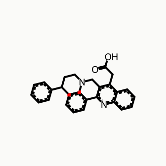 O=C(O)Cc1c(CN2CCC(c3ccccc3)CC2)c(-c2ccccc2)nc2ccccc12